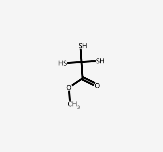 COC(=O)C(S)(S)S